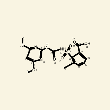 COc1cc(SC)nc(NC(=O)NS(=O)(=O)c2c(C)cccc2C(=O)O)n1